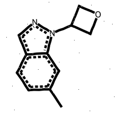 Cc1ccc2cnn(C3COC3)c2c1